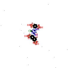 O=S(=O)(O)c1ccc(S(=O)(=O)O)c(Nc2nc(Cl)nc(Nc3cc(S(=O)(=O)O)cc4cc(S(=O)(=O)O)cc(O)c34)n2)c1